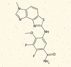 COc1c(Nc2nc3c(ccc4c3ncn4C)s2)cc(C(N)=O)c(F)c1F